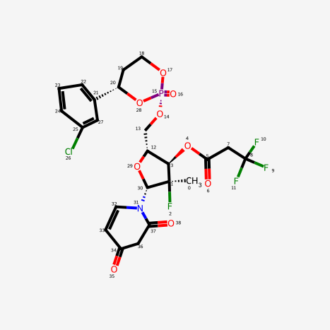 C[C@@]1(F)[C@H](OC(=O)CC(F)(F)F)[C@@H](CO[P@@]2(=O)OCC[C@@H](c3cccc(Cl)c3)O2)O[C@H]1N1C=CC(=O)CC1=O